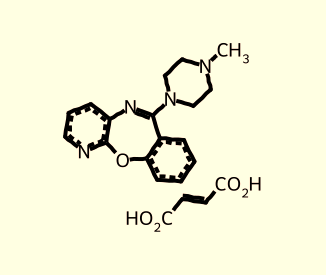 CN1CCN(C2=Nc3cccnc3Oc3ccccc32)CC1.O=C(O)/C=C/C(=O)O